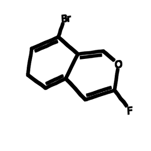 FC1=CC2=CCC=C(Br)C2=CO1